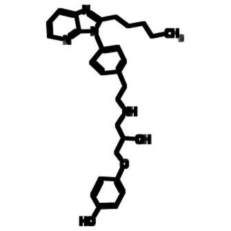 CCCCCc1nc2cccnc2n1-c1ccc(CCNCC(O)COc2ccc(O)cc2)cc1